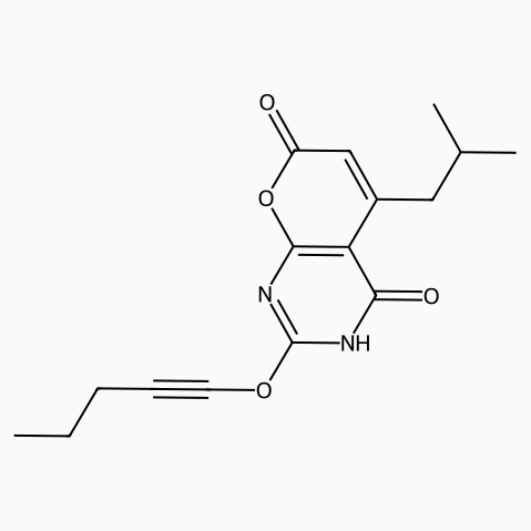 CCCC#COc1nc2oc(=O)cc(CC(C)C)c2c(=O)[nH]1